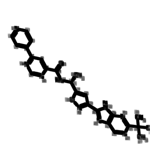 C[C@H](NC(=O)c1cc(-c2ccncc2)ncn1)c1cc(-c2nc3cnc(C(C)(C)C)nc3[nH]2)no1